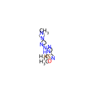 COC1=NC=C(c2ccnc(Nc3ccc(N4CCN(C)CC4)cn3)n2)[SH]1C